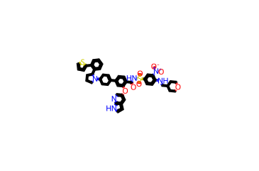 O=C(NS(=O)(=O)c1ccc(NCC2CCOCC2)c([N+](=O)[O-])c1)c1ccc(C2=CCC(N3CCCC3c3ccccc3-c3cccs3)CC2)cc1Oc1cnc2[nH]ccc2c1